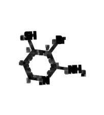 Nc1nccc(S)c1Br